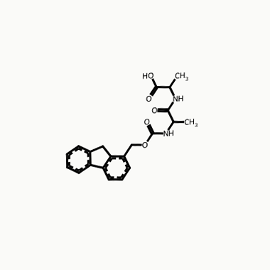 CC(NC(=O)C(C)NC(=O)OCc1cccc2c1Cc1ccccc1-2)C(=O)O